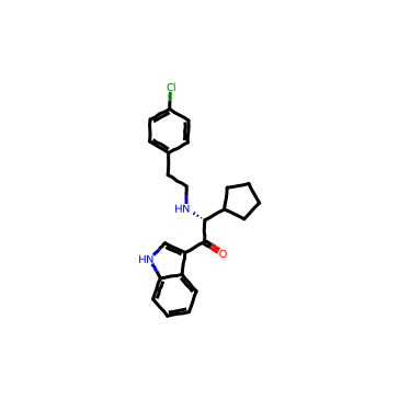 O=C(c1c[nH]c2ccccc12)[C@H](NCCc1ccc(Cl)cc1)C1CCCC1